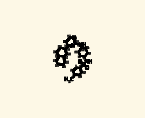 Cc1ccc(S(=O)(=O)N[C@H]2CC[C@H](Nc3nccc(-c4ccc5ccccc5c4)n3)CC2)cc1